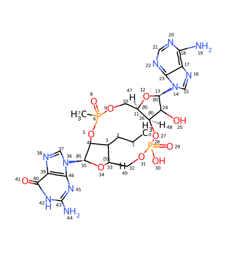 CCCC1C2OP(C)(=O)OC[C@H]3O[C@@H](n4cnc5c(N)ncnc54)C(O)[C@H]3OP(=O)(O)OC[C@H]1O[C@H]2n1cnc2c(=O)[nH]c(N)nc21